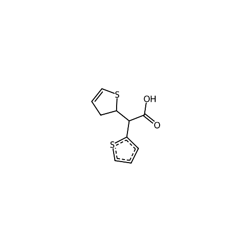 O=C(O)C(c1cccs1)C1CC=CS1